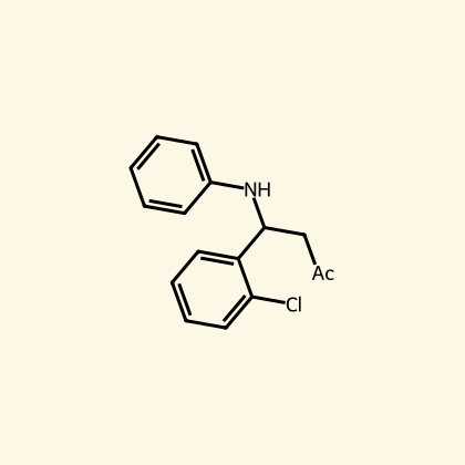 CC(=O)CC(Nc1ccccc1)c1ccccc1Cl